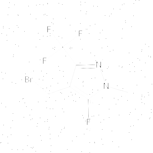 Cn1nc(C(F)(F)F)c(CBr)c1F